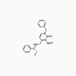 O=Nc1c(CN[C@H](CF)c2ccccc2)ccn(Cc2ccccc2)c1=O